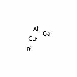 [Al].[Cu].[Ga].[In]